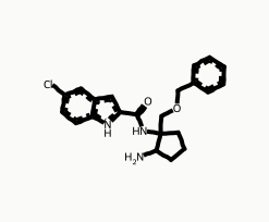 NC1CCCC1(COCc1ccccc1)NC(=O)c1cc2cc(Cl)ccc2[nH]1